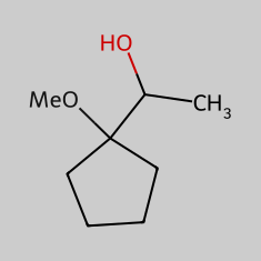 COC1(C(C)O)CCCC1